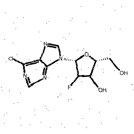 OC[C@H]1O[C@@H](n2cnc3c(Cl)ncnc32)C(F)C1O